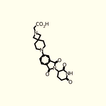 O=C(O)CN1CC2(CCN(c3ccc4c(c3)C(=O)N(C3CCC(=O)NC3=O)C4=O)CC2)C1